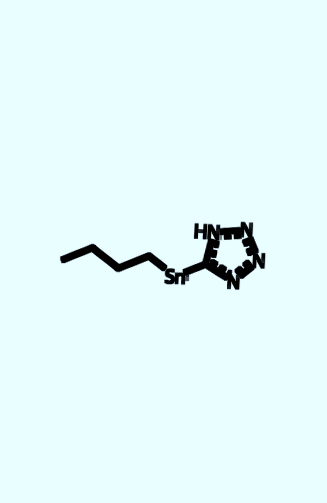 CCC[CH2][Sn][c]1nnn[nH]1